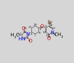 C[C@@H]1NC(=O)N(C2CCC(Oc3cc(=O)n(C)cc3Br)CC2)C1=O